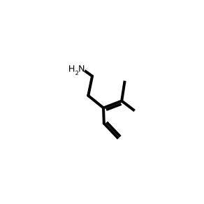 C=CC(CCN)=C(C)C